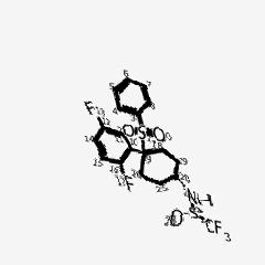 O=S(=O)(c1ccccc1)[C@]1(c2cc(F)ccc2F)CC[C@H](N[S+]([O-])C(F)(F)F)CC1